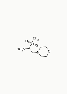 CS(=O)(=O)C(CN1CCOCC1)S(=O)(=O)O